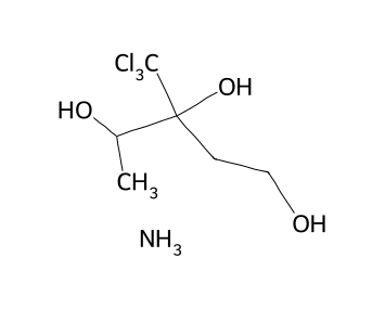 CC(O)C(O)(CCO)C(Cl)(Cl)Cl.N